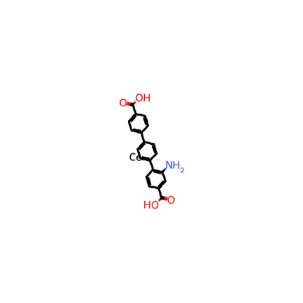 Nc1cc(C(=O)O)ccc1-c1ccc(-c2ccc(C(=O)O)cc2)cc1.[Ce]